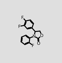 O=C1OCC(c2ccc(F)c(F)c2)N1c1ccccc1F